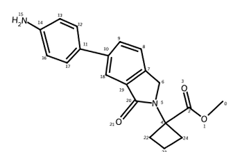 COC(=O)C1(N2Cc3ccc(-c4ccc(N)cc4)cc3C2=O)CCC1